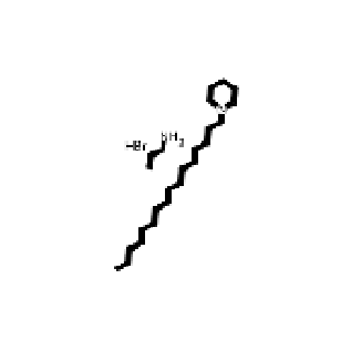 Br.C=CCN.CCCCCCCCCCCCCCCCN1CCCCC1